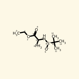 CCOC(=O)C(P)N[S+]([O-])C(C)(C)C